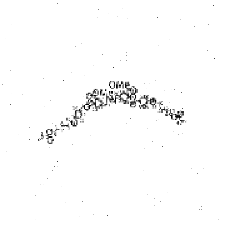 C=CC(=O)OCCCCCCOc1ccc(COOc2ccc(/C=N/N=C/c3ccc(OC(=O)c4ccc(OCCCCCCOC(=O)C=C)cc4)c(C(=O)OC)c3)cc2C(=O)OC)cc1